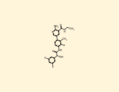 CCNC(=O)c1cc(-c2ccc(NC(=O)C(O)c3cc(F)cc(F)c3)c(F)c2C)cnc1N